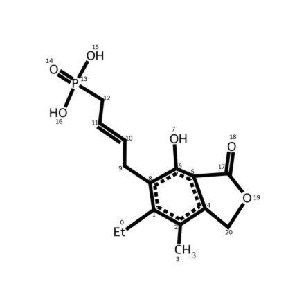 CCc1c(C)c2c(c(O)c1CC=CCP(=O)(O)O)C(=O)OC2